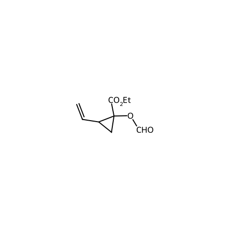 C=CC1CC1(OC=O)C(=O)OCC